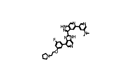 CN(C)c1cncc(-c2cc3c(-c4nc5c(-c6cc(F)cc(OCCN7CCCC7)c6)cncc5[nH]4)n[nH]c3cn2)c1